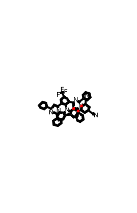 N#Cc1cc(C#N)cc(-c2ccc3c4ccccc4n(-c4c(-c5cc(-c6ccccc6)nc(-c6ccccc6)n5)cc(C(F)(F)F)cc4-c4cc(-c5ccccc5)nc(-c5ccccc5)n4)c3c2)c1